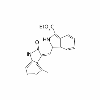 CCOC(=O)c1[nH]c(C=C2C(=O)Nc3cccc(C)c32)c2ccccc12